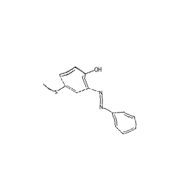 CSc1ccc(O)c(N=Nc2ccccc2)c1